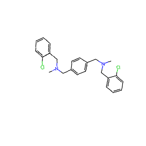 CN(Cc1ccc(CN(C)Cc2ccccc2Cl)cc1)Cc1ccccc1Cl